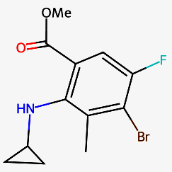 COC(=O)c1cc(F)c(Br)c(C)c1NC1CC1